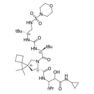 CCCC(NC(=O)[C@@H]1C[C@@]2(CN1C(=O)[C@@H](NC(=O)N[C@@H](CNS(=O)(=O)N1CCOCC1)C(C)(C)C)C(C)(C)C)C(C)(C)C21CCC1)C(O)C(=O)NC1CC1